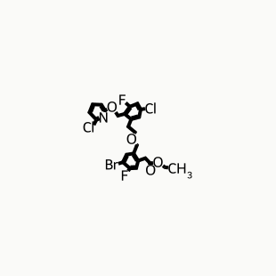 CCOC(=O)Cc1cc(F)c(Br)cc1COCCc1cc(Cl)cc(F)c1COc1cccc(Cl)n1